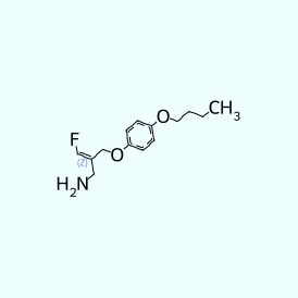 CCCCOc1ccc(OC/C(=C\F)CN)cc1